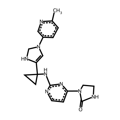 Cc1ccc(N2C=C(C3(Nc4nccc(N5CCNC5=O)n4)CC3)NC2)cn1